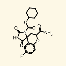 NC(=O)C1CC2(C(=O)NC(=O)N2C(=O)OC2CCCCC2)c2cc(F)ccc2O1